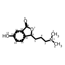 CN(C)CCCC1OC(=O)c2cc(O)ccc21